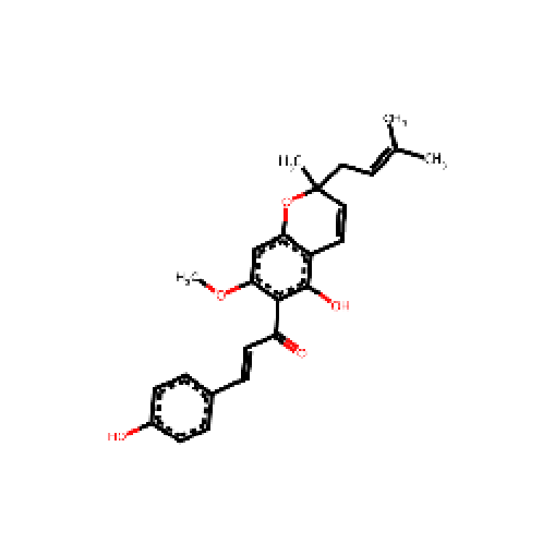 COc1cc2c(c(O)c1C(=O)/C=C/c1ccc(O)cc1)C=CC(C)(CC=C(C)C)O2